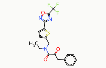 CCN(Cc1ccc(-c2noc(C(F)(F)F)n2)s1)C(=O)C(=O)Cc1ccccc1